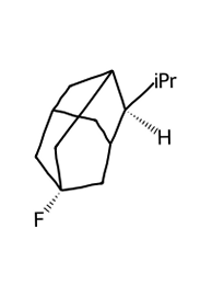 CC(C)[C@H]1C2CC3CC1C[C@](F)(C3)C2